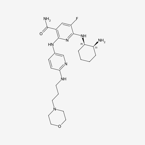 NC(=O)c1cc(F)c(N[C@@H]2CCCC[C@@H]2N)nc1Nc1ccc(NCCCN2CCOCC2)nc1